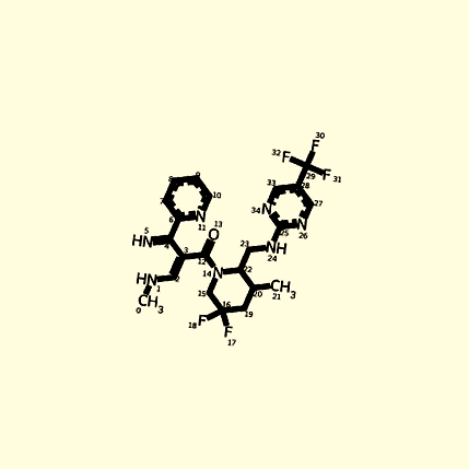 CN/C=C(\C(=N)c1ccccn1)C(=O)N1CC(F)(F)CC(C)C1CNc1ncc(C(F)(F)F)cn1